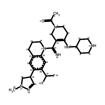 CC(=O)N1CCC(NC2CCNCC2)=C(C(=N)N2CCCc3cc(C4C=NN(C)C4)c(C(F)F)cc32)C1